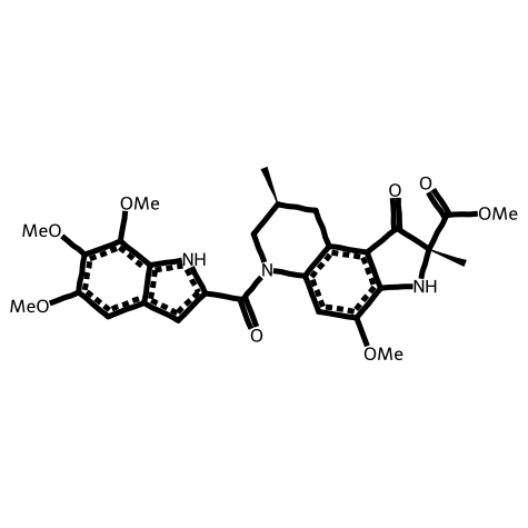 COC(=O)[C@]1(C)Nc2c(OC)cc3c(c2C1=O)C[C@H](C)CN3C(=O)c1cc2cc(OC)c(OC)c(OC)c2[nH]1